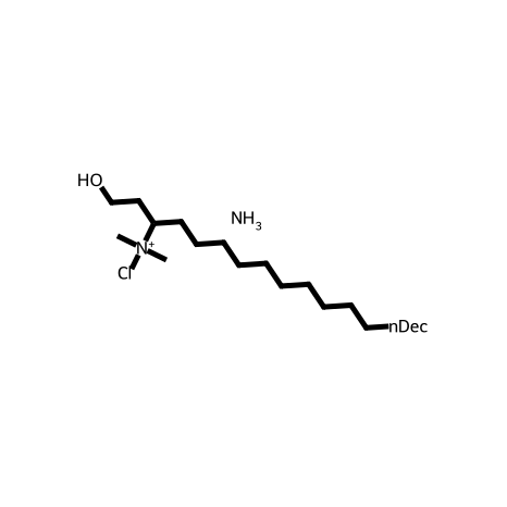 CCCCCCCCCCCCCCCCCCCCC(CCO)[N+](C)(C)Cl.N